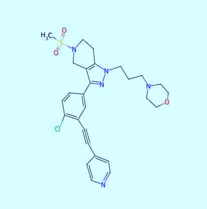 CS(=O)(=O)N1CCc2c(c(-c3ccc(Cl)c(C#Cc4ccncc4)c3)nn2CCCN2CCOCC2)C1